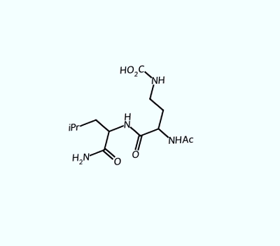 CC(=O)NC(CCNC(=O)O)C(=O)NC(CC(C)C)C(N)=O